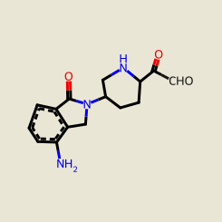 Nc1cccc2c1CN(C1CCC(C(=O)C=O)NC1)C2=O